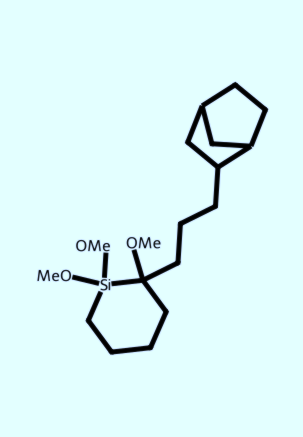 COC1(CCCC2CC3CCC2C3)CCCC[Si]1(OC)OC